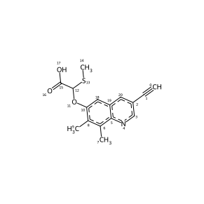 C#Cc1cnc2c(C)c(C)c(OC(SC)C(=O)O)cc2c1